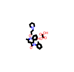 CC(/C=C1/C(=O)N(c2ccccc2C)C1c1ccccc1)=NOCCCN1CCCCC1.O=C(O)C(=O)O